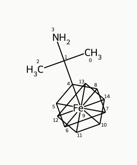 CC(C)(N)[C]12[CH]3[CH]4[CH]5[CH]1[Fe]45321678[CH]2[CH]1[CH]6[CH]7[CH]28